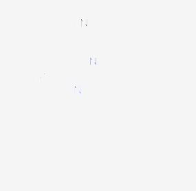 Cc1nc2c(CC3CCc4ccccc43)cccn2c1CC#N